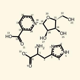 NC(Cc1c[nH]cn1)C(=O)[O-].O=C(O)c1ccc[n+]([C@@H]2O[C@H](CO)[C@@H](O)[C@H]2O)c1